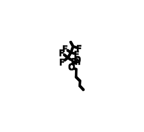 CCCCC[O][Sn](=[O])[C](F)(F)C(F)(F)C(C)F